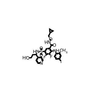 Cc1cc(I)ccc1Nc1c(C(=O)NOCC2CC2)cc(S(=O)(=O)NC(CCO)c2ccncc2)c(F)c1F